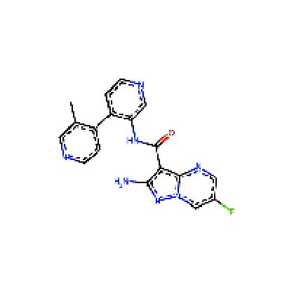 Cc1cnccc1-c1ccncc1NC(=O)c1c(N)nn2cc(F)cnc12